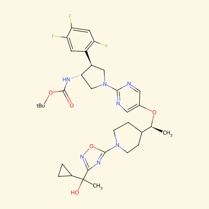 C[C@H](Oc1cnc(N2C[C@H](NC(=O)OC(C)(C)C)[C@@H](c3cc(F)c(F)cc3F)C2)nc1)C1CCN(c2nc(C(C)(O)C3CC3)no2)CC1